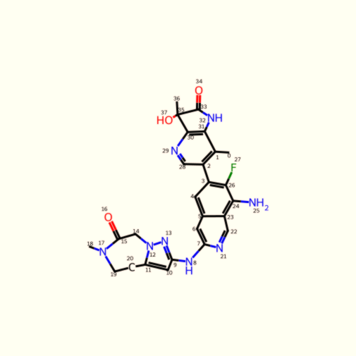 Cc1c(-c2cc3cc(Nc4cc5n(n4)CC(=O)N(C)CC5)ncc3c(N)c2F)cnc2c1NC(=O)C2(C)O